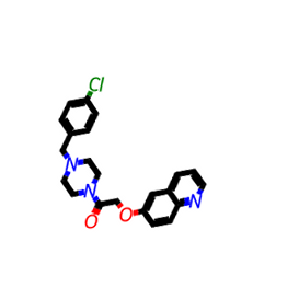 O=C(COc1ccc2ncccc2c1)N1CCN(Cc2ccc(Cl)cc2)CC1